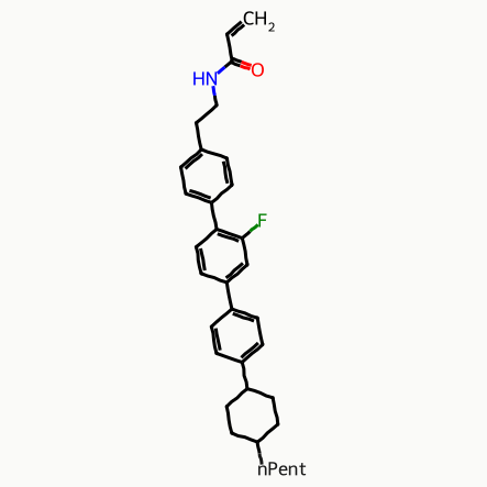 C=CC(=O)NCCc1ccc(-c2ccc(-c3ccc(C4CCC(CCCCC)CC4)cc3)cc2F)cc1